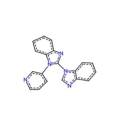 c1cncc(-n2c(-n3cnc4ccccc43)nc3ccccc32)c1